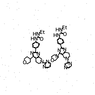 CCNC(=O)Nc1ccc(-c2nc3c(c(C4CCOCC4)n2)CCN(c2ncccn2)C3)cc1.CCNC(=O)Nc1ccc(-c2nc3c(c(N4CCOCC4)n2)CN(c2cnccn2)CC3)cc1